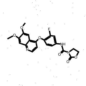 COc1cc2nccc(Oc3ccc(NC(=O)N4CCOC4=O)cc3F)c2cc1OC